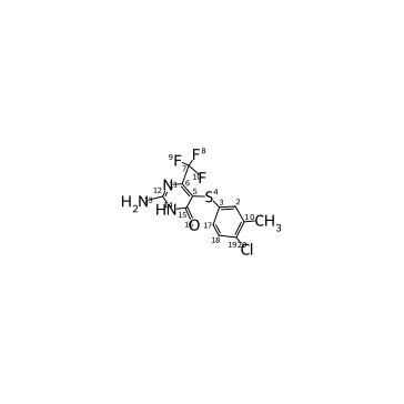 Cc1cc(Sc2c(C(F)(F)F)nc(N)[nH]c2=O)ccc1Cl